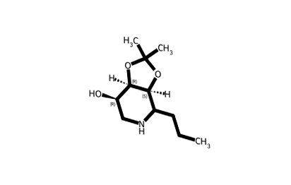 CCCC1NC[C@@H](O)[C@H]2OC(C)(C)O[C@@H]12